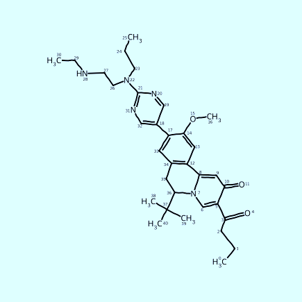 CCCC(=O)c1cn2c(cc1=O)-c1cc(OC)c(-c3cnc(N(CCC)CCNCC)nc3)cc1CC2C(C)(C)C